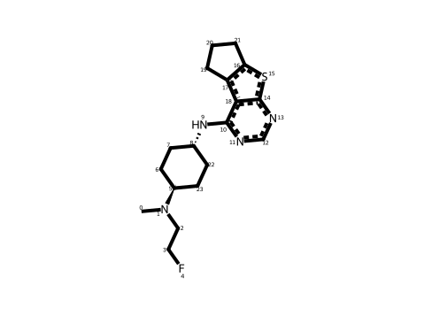 CN(CCF)[C@H]1CC[C@H](Nc2ncnc3sc4c(c23)CCC4)CC1